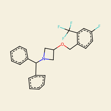 Fc1ccc(COC2CN(C(c3ccccc3)c3ccccc3)C2)c(C(F)(F)F)c1